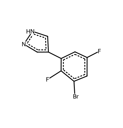 Fc1cc(Br)c(F)c(-c2cn[nH]c2)c1